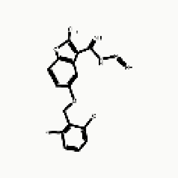 Cc1oc2ccc(OCc3c(F)cccc3Cl)cc2c1C(=N)NN=N